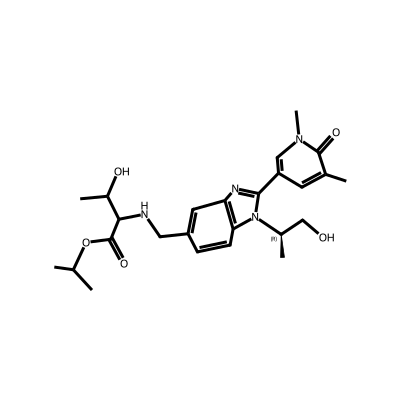 Cc1cc(-c2nc3cc(CNC(C(=O)OC(C)C)C(C)O)ccc3n2[C@H](C)CO)cn(C)c1=O